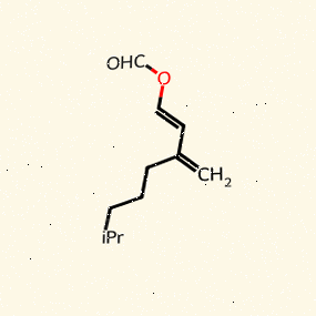 C=C(C=COC=O)CCCC(C)C